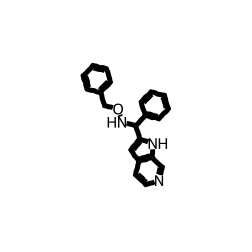 c1ccc(CONC(c2ccccc2)c2cc3ccncc3[nH]2)cc1